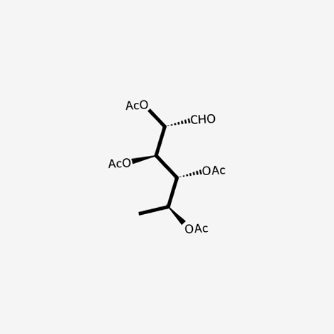 CC(=O)O[C@H]([C@H](OC(C)=O)[C@H](C)OC(C)=O)[C@@H](C=O)OC(C)=O